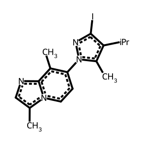 Cc1c(-n2nc(I)c(C(C)C)c2C)ccn2c(C)cnc12